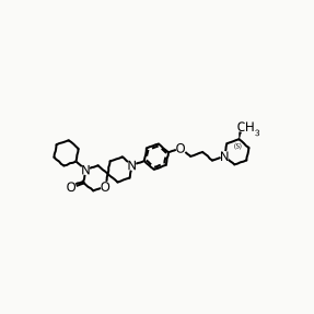 C[C@H]1CCCN(CCCOc2ccc(N3CCC4(CC3)CN(C3CCCCC3)C(=O)CO4)cc2)C1